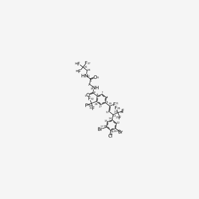 O=C(CNC(=O)c1ccc(C(F)=CC(c2cc(Br)c(Cl)c(Br)c2)C(F)(F)F)cc1C(F)(F)F)NCC(F)(F)F